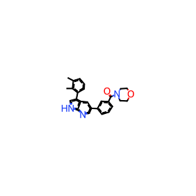 Cc1cccc(-c2c[nH]c3ncc(-c4cccc(C(=O)N5CCOCC5)c4)cc23)c1C